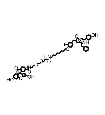 O=C(CCOCCOCCNC(=O)c1ccc2c(c1)C1(OC2=O)c2ccc(O)cc2Oc2cc(O)ccc21)NCCCCCCCCOc1ccc(Cc2cc3c(Cc4ccccc4)[nH]c(-c4ccc(O)cc4)cn-3c2=O)cc1F